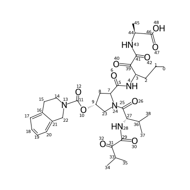 CCCC(NC(=O)C1C[C@@H](OC(=O)N2CCc3ccccc3C2)CN1C(=O)[C@@H](NC(=O)C(=O)C(C)C)C(C)C)C(=O)C(=O)N[C@@H](C)C(=O)O